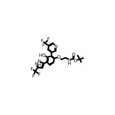 CC(C)(C)OC(=O)NCCOc1ccc(-c2cc(C(F)(F)F)n[nH]2)c(O)c1-c1cncc(C(F)(F)F)c1